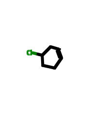 ClC1C[C]=CCC1